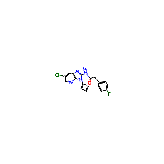 O=C(Cc1ccc(F)cc1)Nc1nc2cc(Cl)cnc2n1C1=CC=C1